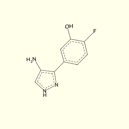 Nc1c[nH]nc1-c1ccc(F)c(O)c1